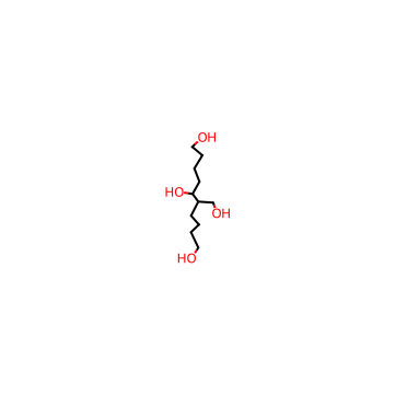 OCCCCC(O)C(CO)CCCCO